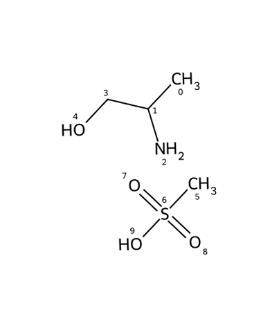 CC(N)CO.CS(=O)(=O)O